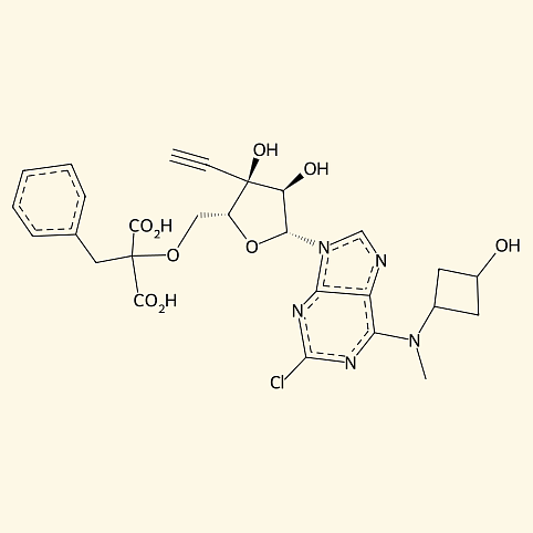 C#C[C@@]1(O)[C@@H](COC(Cc2ccccc2)(C(=O)O)C(=O)O)O[C@@H](n2cnc3c(N(C)C4CC(O)C4)nc(Cl)nc32)[C@@H]1O